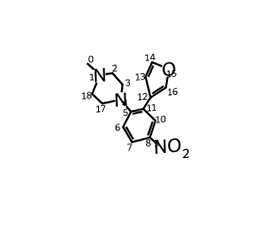 CN1CCN(c2ccc([N+](=O)[O-])cc2-c2ccoc2)CC1